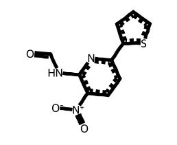 O=CNc1nc(-c2cccs2)ccc1[N+](=O)[O-]